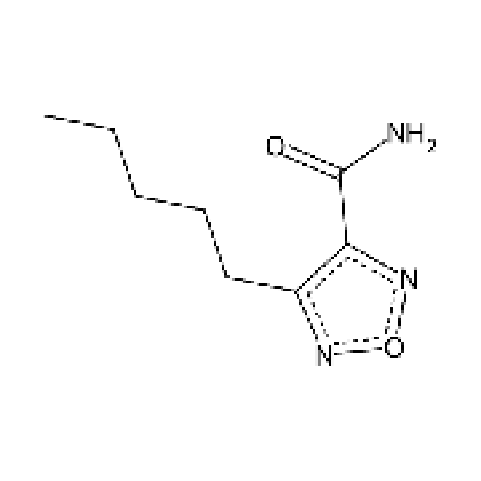 CCCCCc1nonc1C(N)=O